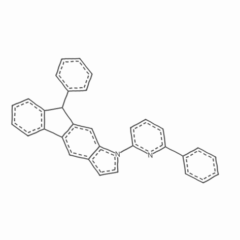 c1ccc(-c2cccc(-n3ccc4cc5c(cc43)C(c3ccccc3)c3ccccc3-5)n2)cc1